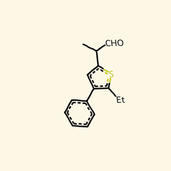 CCc1sc(C(C)C=O)cc1-c1ccccc1